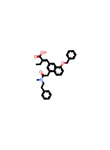 CC/C(=C\c1cc(CC(=O)N(C)CCc2ccccc2)c2cccc(OCc3ccccc3)c2c1)C(=O)O